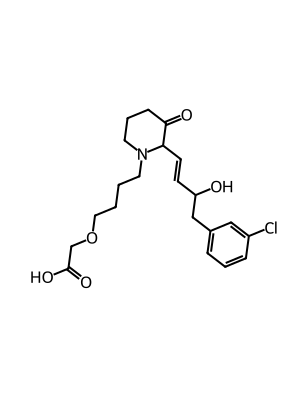 O=C(O)COCCCCN1CCCC(=O)C1C=CC(O)Cc1cccc(Cl)c1